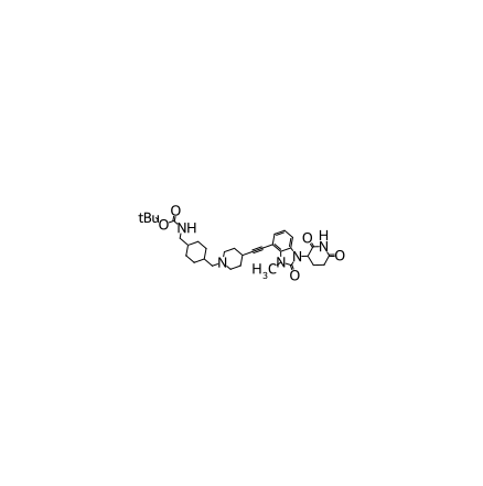 Cn1c(=O)n(C2CCC(=O)NC2=O)c2cccc(C#CC3CCN(CC4CCC(CNC(=O)OC(C)(C)C)CC4)CC3)c21